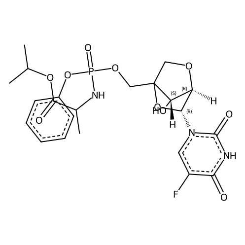 CC(C)OC(=O)C(C)NP(=O)(OCC12CO[C@@H]([C@H](n3cc(F)c(=O)[nH]c3=O)O1)[C@@H]2O)Oc1ccccc1